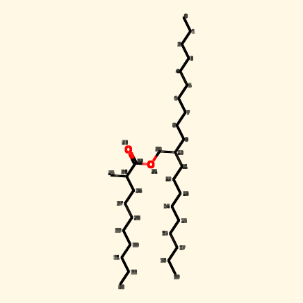 CCCCCCCCCCC(CCCCCCCCC)COC(=O)C(C)CCCCCCCC